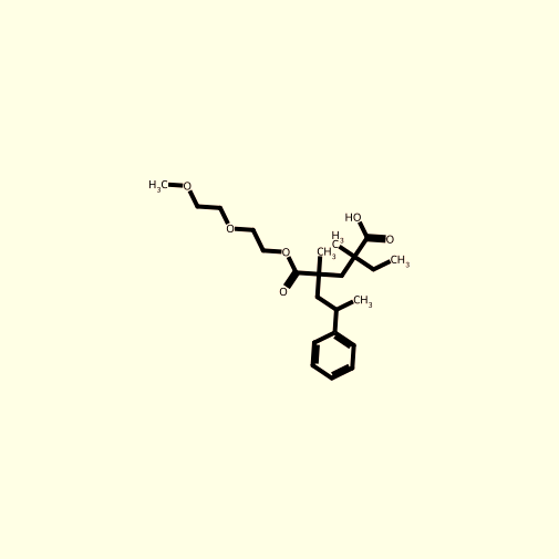 CCC(C)(CC(C)(CC(C)c1ccccc1)C(=O)OCCOCCOC)C(=O)O